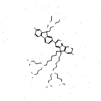 COCCOCCC1(CCOCCOC)c2cc(C)ccc2-c2ccc(-c3cnc4c(c3)C(CCCCCCN(CCCN(C)C)CCCN(C)C)(CCCCCCN(CCCN(C)C)CCCN(C)C)c3cc(C)cnc3-4)cc21